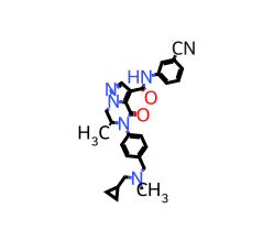 C[C@H]1Cn2ncc(C(=O)Nc3cccc(C#N)c3)c2C(=O)N1c1ccc(CN(C)CC2CC2)cc1